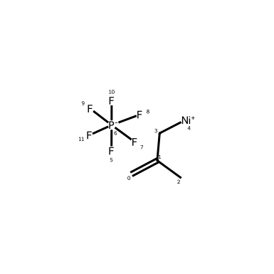 C=C(C)[CH2][Ni+].F[P-](F)(F)(F)(F)F